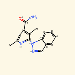 Cc1cc(C(N)=O)c(C)c(-n2ncc3ccccc32)n1